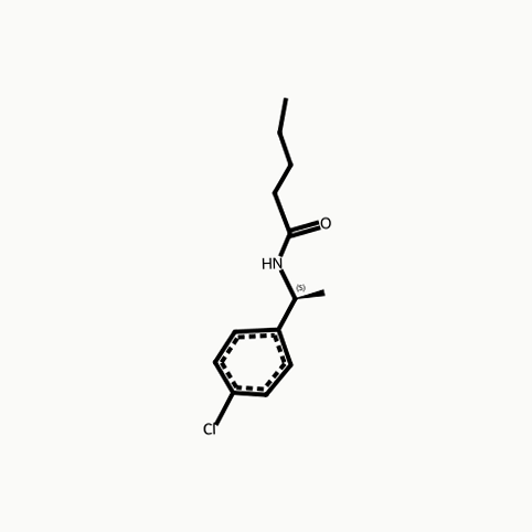 CCCCC(=O)N[C@@H](C)c1ccc(Cl)cc1